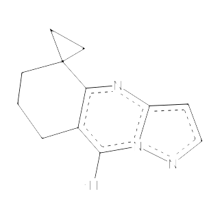 [2H]c1c2c(nc3ccnn13)C1(CCC2)CC1